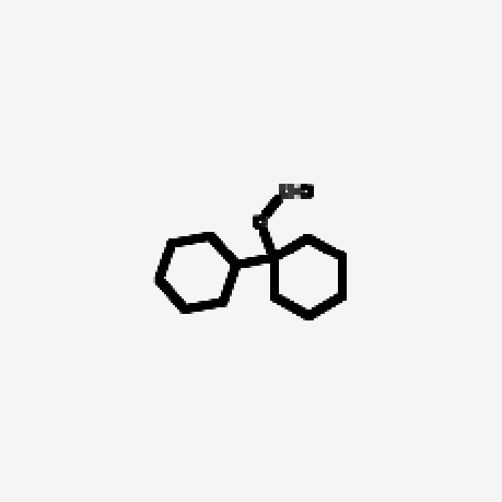 O=COC1(C2CCCCC2)CCCCC1